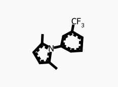 Cc1ccc(C)n1-c1cccc(C(F)(F)F)c1